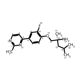 Cc1nccc(-c2ccc(OC[C@@](C)(N)CC(C)C)c(F)c2)n1